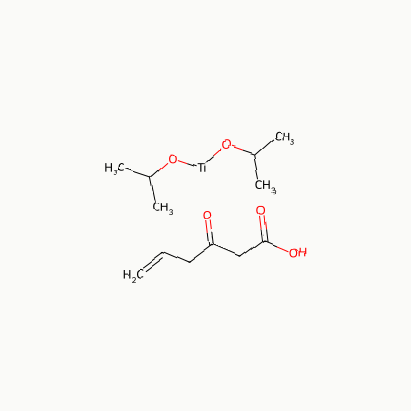 C=CCC(=O)CC(=O)O.CC(C)[O][Ti][O]C(C)C